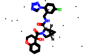 O=C(NCc1cc(Cl)ccc1-n1cnnn1)[C@@H]1[C@H]2C[C@H]2CN1C(=O)C1(O)CCOc2ccccc21